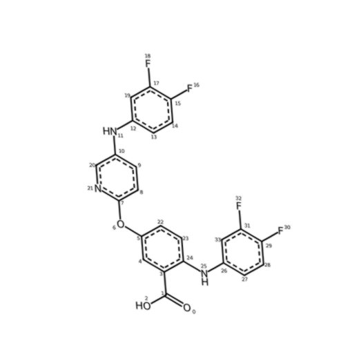 O=C(O)c1cc(Oc2ccc(Nc3ccc(F)c(F)c3)cn2)ccc1Nc1ccc(F)c(F)c1